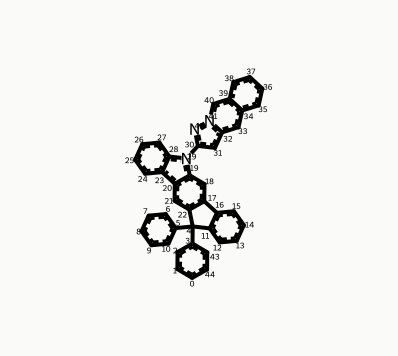 c1ccc(C2(c3ccccc3)c3ccccc3-c3cc4c(cc32)c2ccccc2n4-c2cc3cc4ccccc4cn3n2)cc1